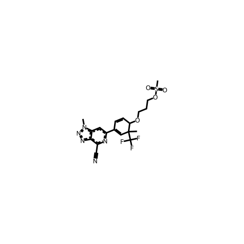 Cn1nnc2c(C#N)nc(C3=CC(C)(C(F)(F)F)C(OCCCOS(C)(=O)=O)C=C3)cc21